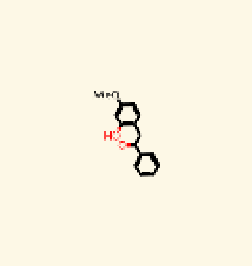 COc1ccc(CC(=O)c2ccccc2)c(O)c1